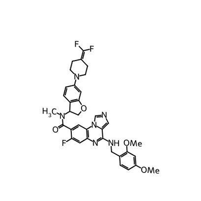 COc1ccc(CNc2nc3cc(F)c(C(=O)N(C)C4COc5cc(N6CCC(=C(F)F)CC6)ccc54)cc3n3cncc23)c(OC)c1